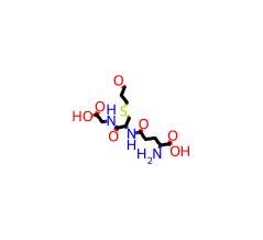 NC(CCC(=O)NC(CSCCC=O)C(=O)NCC(=O)O)C(=O)O